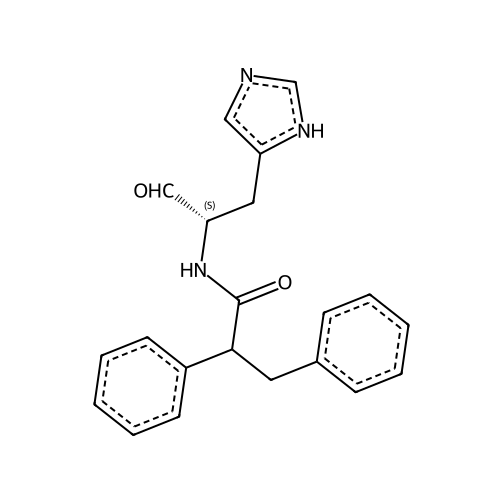 O=C[C@H](Cc1cnc[nH]1)NC(=O)C(Cc1ccccc1)c1ccccc1